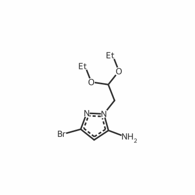 CCOC(Cn1nc(Br)cc1N)OCC